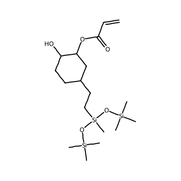 C=CC(=O)OC1CC(CC[Si](C)(O[Si](C)(C)C)O[Si](C)(C)C)CCC1O